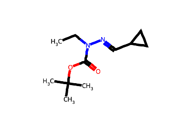 CCN(/N=C/C1CC1)C(=O)OC(C)(C)C